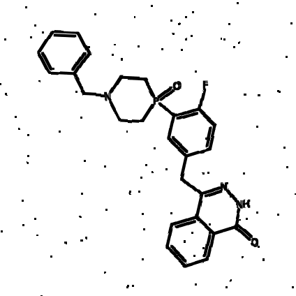 O=c1[nH]nc(Cc2ccc(F)c(P3(=O)CCN(Cc4ccccc4)CC3)c2)c2ccccc12